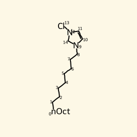 CCCCCCCCCCCCCCCCN1C=CN(Cl)C1